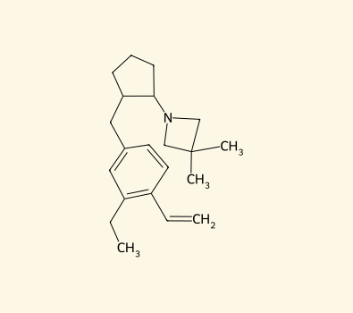 C=Cc1ccc(CC2CCCC2N2CC(C)(C)C2)cc1CC